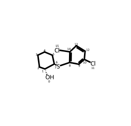 O[C@@H]1CCCC[C@H]1Sc1cc(Cl)ccc1Cl